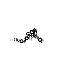 Cc1ccc(/C=N/NC(=O)c2cc(Br)ccc2NC(=O)c2ccc(CN3CCN(CCO)CC3)cc2)cc1C